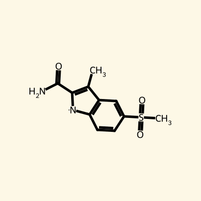 CC1=C(C(N)=O)[N]c2ccc(S(C)(=O)=O)cc21